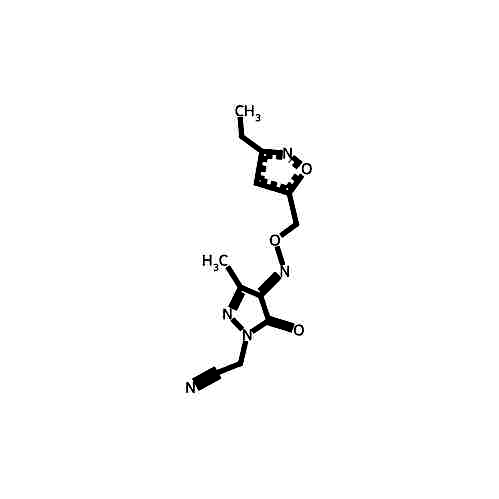 CCc1cc(CON=C2C(=O)N(CC#N)N=C2C)on1